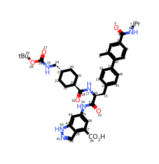 Cc1cc(C(=O)NC(C)C)ccc1-c1ccc(C[C@H](NC(=O)[C@H]2CC[C@H](CNC(=O)OC(C)(C)C)CC2)C(=O)Nc2cc(C(=O)O)c3cn[nH]c3c2)cc1